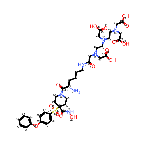 N[C@@H](CCCCNC(=O)CN(CCN(CCN(CC(=O)O)CC(=O)O)CC(=O)O)CC(=O)O)C(=O)N1CCC(C(=O)NO)(S(=O)(=O)c2ccc(Oc3ccccc3)cc2)CC1